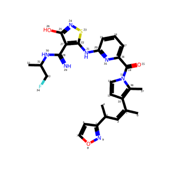 C/C(=C/C(C)c1ccon1)c1ccn(C(=O)c2cccc(Nc3snc(O)c3C(=N)NC(C)CF)n2)c1C